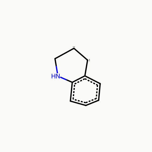 [C]1[C]c2ccccc2NC1